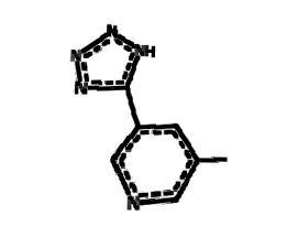 Cc1cncc(-c2nnn[nH]2)c1